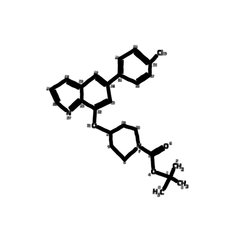 CC(C)(C)OC(=O)N1CCC(Oc2cc(-c3ccc(Cl)cc3)cc3cccnc23)CC1